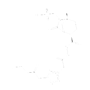 CCOC(=O)Cc1nnn(CC(=O)NNC(=O)[C@@H]2CC[C@@H]3CN2C(=O)N3OS(=O)(=O)O)n1